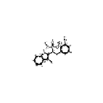 CCOP(=O)(OCC)C(Cc1cccc(Br)c1)c1sc2ccccc2c1C